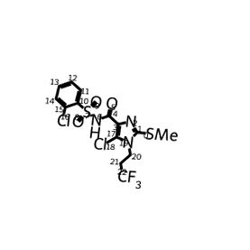 CSc1nc(C(=O)NS(=O)(=O)c2ccccc2Cl)c(Cl)n1CCC(F)(F)F